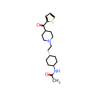 CC(=O)N[C@H]1CC[C@H](CCN2CCC(C(=O)c3cccs3)CC2)CC1